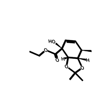 CCOC(=O)[C@]1(O)C=C[C@@H](C)[C@@H]2OC(C)(C)O[C@@H]21